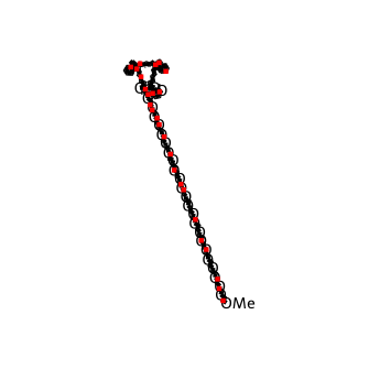 COCCOCCOCCOCCOCCOCCOCCOCCOCCOCCOCCOCCOCCOCCOCCOCCOCCOCCOCCOCCOCCOCCOCCOCCNC(=O)CCCCC[N+]1=C(C=CC=CC=C2N(CCCCCC(=O)ON3C(=O)CCC3=O)c3ccccc3C2(C)C)C(C)(C)c2ccccc21